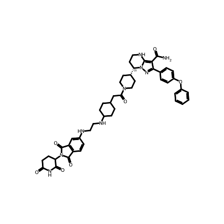 NC(=O)c1c(-c2ccc(Oc3ccccc3)cc2)nn2c1NCC[C@H]2C1CCN(C(=O)CC2CCC(NCCNc3ccc4c(c3)C(=O)N(C3CCC(=O)NC3=O)C4=O)CC2)CC1